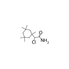 CC1(C)CC(C)(C)CC(C)(C(Cl)C(N)=O)C1